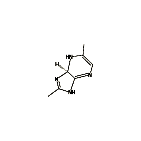 CC1=CN=C2NC(C)=N[C@H]2N1